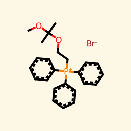 COC(C)(C)OCC[P+](c1ccccc1)(c1ccccc1)c1ccccc1.[Br-]